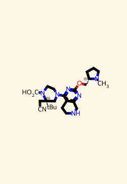 CN1CCC[C@H]1COc1nc2c(c(N3CCN(C(=O)O)[C@@](CC#N)(C(C)(C)C)C3)n1)CCNC2